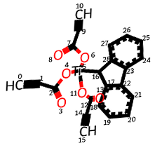 C#CC(=O)[O][Ti]([O]C(=O)C#C)([O]C(=O)C#C)[CH]1c2ccccc2-c2ccccc21